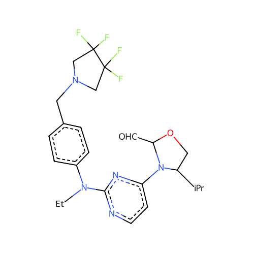 CCN(c1ccc(CN2CC(F)(F)C(F)(F)C2)cc1)c1nccc(N2C(C=O)OCC2C(C)C)n1